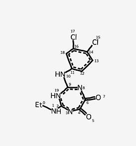 CCNc1nc(=O)c(=O)nc(Nc2ccc(Cl)c(Cl)c2)[nH]1